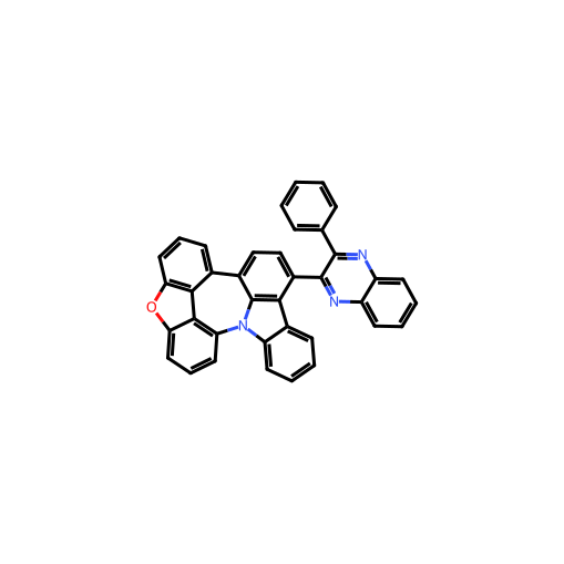 c1ccc(-c2nc3ccccc3nc2-c2ccc3c4cccc5oc6cccc(c6c54)n4c5ccccc5c2c34)cc1